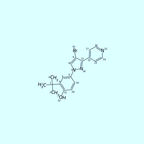 CC(C)(C)c1cc(-n2cc(Br)c(-c3ccncc3)n2)ccc1O